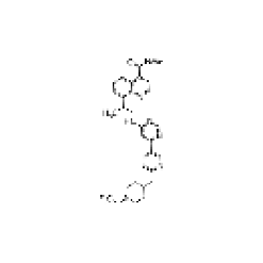 CNC(=O)c1ccnc2c([C@H](C)CNc3cc(-c4ccc(CC5CCN(CC(F)(F)F)CC5)nc4)ncn3)cccc12